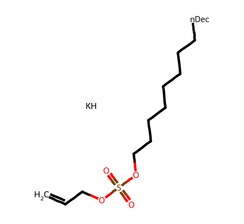 C=CCOS(=O)(=O)OCCCCCCCCCCCCCCCCCC.[KH]